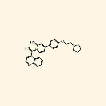 N=C(c1ccnc2ccccc12)n1ccc(-c2ccc(OCCN3CCCC3)cc2)cc1=N